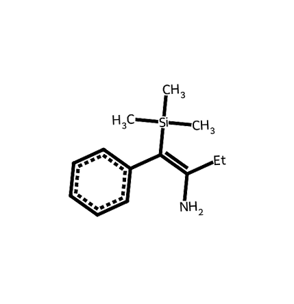 CCC(N)=C(c1ccccc1)[Si](C)(C)C